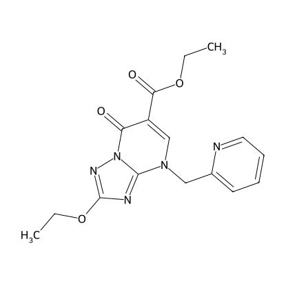 CCOC(=O)c1cn(Cc2ccccn2)c2nc(OCC)nn2c1=O